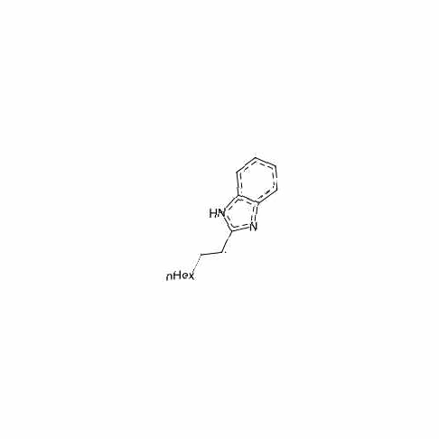 CCCCCCC[CH]c1nc2ccccc2[nH]1